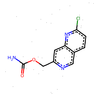 NC(=O)OCc1cc2nc(Cl)ccc2cn1